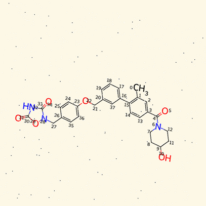 Cc1cc(C(=O)N2CCC(O)CC2)ccc1-c1cccc(COc2ccc(Cn3oc(=O)[nH]c3=O)cc2)c1